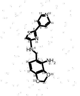 Nc1c(CNc2csc(-c3ccncc3)n2)ccc2c1OCO2